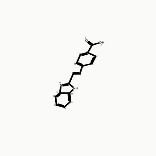 O=C(O)c1ccc(C=Cc2nc3ccccc3[nH]2)cc1